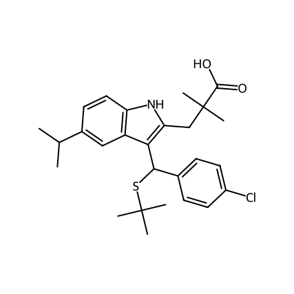 CC(C)c1ccc2[nH]c(CC(C)(C)C(=O)O)c(C(SC(C)(C)C)c3ccc(Cl)cc3)c2c1